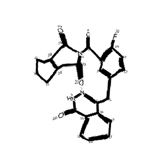 O=C(c1cc(Cc2n[nH]c(=O)c3ccccc23)ccc1F)N1C(=O)C2CCCC2C1=O